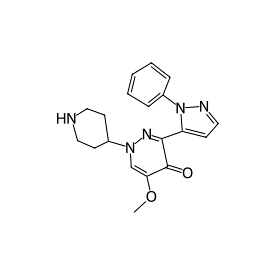 COc1cn(C2CCNCC2)nc(-c2ccnn2-c2ccccc2)c1=O